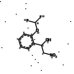 O=[N+]([O-])CC(O)c1ccccc1OC(F)F